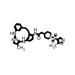 Cc1cnc2nc1Nc1ccc(NC(=O)CC3CCN(S(=O)(=O)c4cnoc4C)CC3)c(c1)CCc1cccc(c1)N2